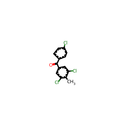 Cc1c(Cl)cc(C(=O)c2ccc(Cl)cc2)cc1Cl